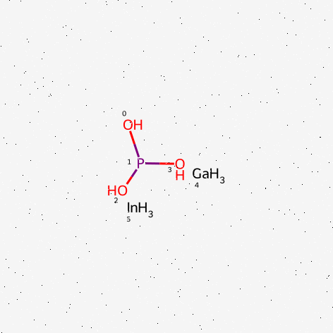 OP(O)O.[GaH3].[InH3]